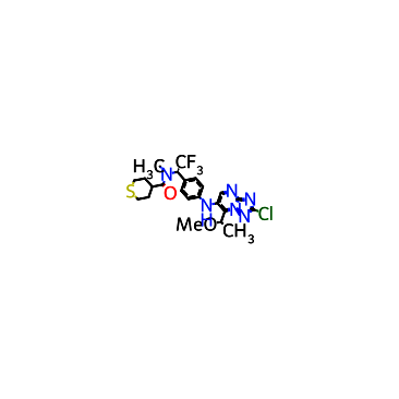 CO[C@H](C)c1c(Nc2ccc([C@H](N(C)C(=O)C3CCSCC3)C(F)(F)F)cc2)cnc2nc(Cl)nn12